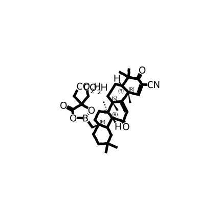 CC1(C)CC[C@]2(CB3OC(=O)C(CC(=O)O)(CC(=O)O)O3)CC[C@]3(C)[C@H](C(=O)C=C4[C@@]5(C)C=C(C#N)C(=O)C(C)(C)[C@@H]5CC[C@]43C)C2C1